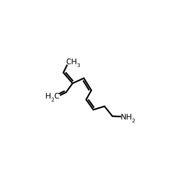 C=CC(/C=C\C=C/CCN)=C/C